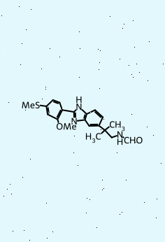 COc1cc(SC)ccc1-c1nc2cc(C(C)(C)CNC=O)ccc2[nH]1